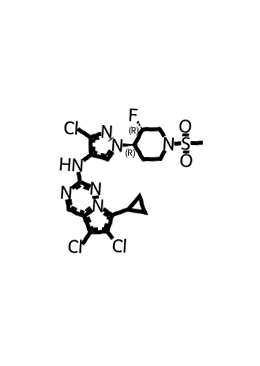 CS(=O)(=O)N1CC[C@@H](n2cc(Nc3ncc4c(Cl)c(Cl)c(C5CC5)n4n3)c(Cl)n2)[C@H](F)C1